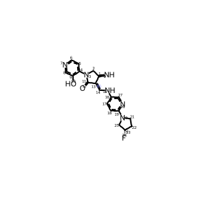 N=C1CN(c2ccncc2O)C(=O)/C1=C/Nc1ccc(N2CC[C@H](F)C2)nc1